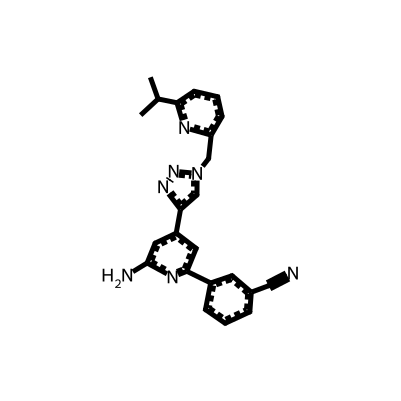 CC(C)c1cccc(Cn2cc(-c3cc(N)nc(-c4cccc(C#N)c4)c3)nn2)n1